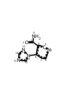 NC(=O)c1cnccc1-n1cncn1